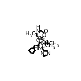 CC(C)C[C@H](NC(=O)[C@H](Cc1ccccc1)NC(=O)c1cnccn1)B1OC[C@H](C)NCC(=O)O1